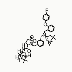 C[C@@H]1[C@@H](NC(=O)C2CCS(=O)(=O)N2Cc2cccc(CN(Cc3ccccc3Oc3ccc(F)cc3)[C@H](CN(C)C)CC(C)(C)C)c2)C[C@H]2C[C@@H]1C2(C)C